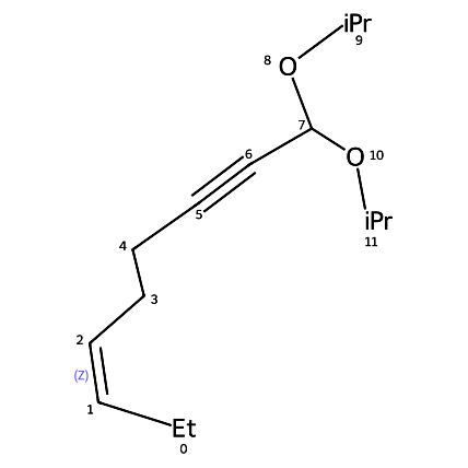 CC/C=C\CCC#CC(OC(C)C)OC(C)C